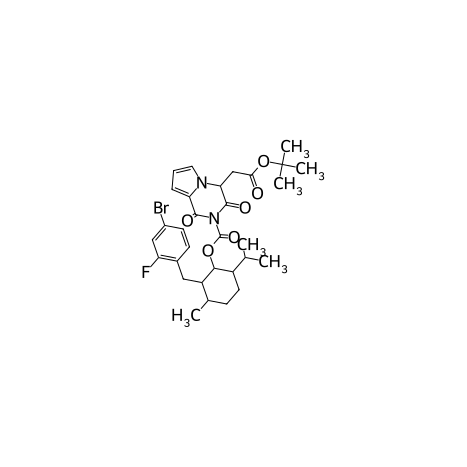 CC(C)C1CCC(C)C(Cc2ccc(Br)cc2F)C1OC(=O)N1C(=O)c2cccn2C(CC(=O)OC(C)(C)C)C1=O